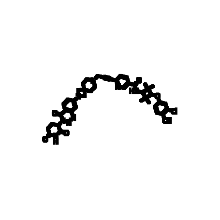 CC1(C)C(NC(=O)c2ccc(C#CCN3CCC4(CC3)CN(c3ccc5c(=O)n(C6CCC(=O)NC6=O)nnc5c3)C4)nc2)C(C)(C)C1Oc1ccc(C#N)c(Cl)c1